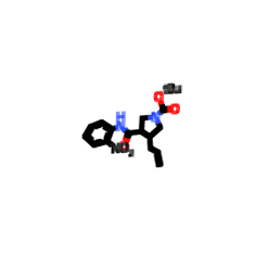 C=CCC1CN(C(=O)OC(C)(C)C)CC1C(=O)Nc1ccccc1[N+](=O)[O-]